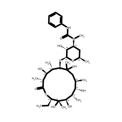 CC[C@H]1OC(=O)[C@H](C)[C@@H](O)[C@H](C)[C@@H](O[C@@H]2O[C@H](C)C[C@H](N(C)C(=O)Nc3ccccc3)[C@H]2O)C(C)(O)C[C@@H](C)[C@H](O)[C@H](C)[C@@H](O)[C@]1(C)O